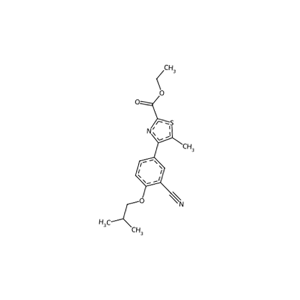 CCOC(=O)c1nc(-c2ccc(OCC(C)C)c(C#N)c2)c(C)s1